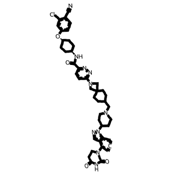 N#Cc1ccc(O[C@H]2CC[C@H](NC(=O)c3ccc(N4CC5(CCC(CN6CCC(n7ncc8c(N9CCC(=O)NC9=O)cccc87)CC6)CC5)C4)nn3)CC2)cc1Cl